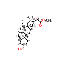 COC(=O)C(=O)C[C@@H](C)[C@H]1CC[C@H]2[C@@H]3CC=C4C[C@@H](O)CC[C@]4(C)[C@H]3CC[C@]12C